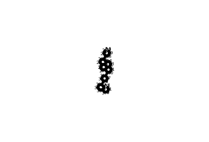 c1cnc2c(-c3ccc(-c4ccc5ccc6c(-c7ccncc7)ccc7ccc4c5c76)cc3)cccc2c1